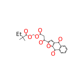 CCC(C)(C)C(=O)OCOC(=O)CC(=O)c1cc2c(o1)C(=O)c1ccccc1C2=O